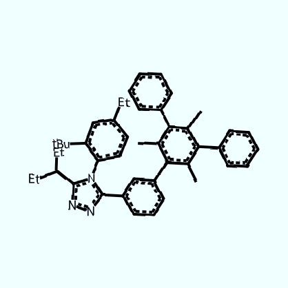 CCc1ccc(-n2c(-c3cccc(-c4c(C)c(-c5ccccc5)c(C)c(-c5ccccc5)c4C)c3)nnc2C(CC)CC)c(C(C)(C)C)c1